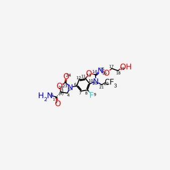 NC(=O)[C@H]1CN(c2cc(F)c3c(c2)o/c(=N/OCCO)n3CC(F)(F)F)C(=O)O1